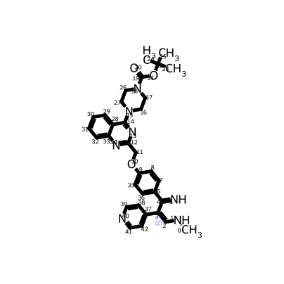 CN/C=C(\C(=N)c1ccc(OCc2nc(N3CCN(C(=O)OC(C)(C)C)CC3)c3ccccc3n2)cc1)c1ccncc1